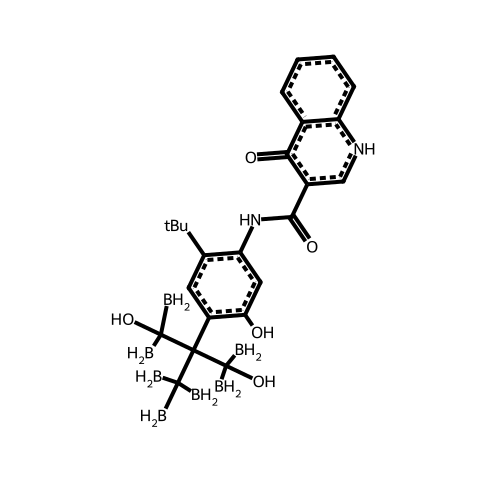 BC(B)(B)C(c1cc(C(C)(C)C)c(NC(=O)c2c[nH]c3ccccc3c2=O)cc1O)(C(B)(B)O)C(B)(B)O